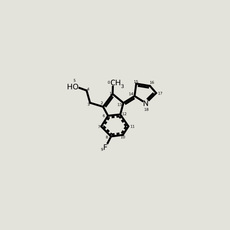 CC1=C(CCO)c2cc(F)ccc2C1=C1C=CC=N1